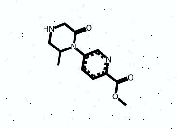 COC(=O)c1ccc(N2C(=O)CNCC2C)cn1